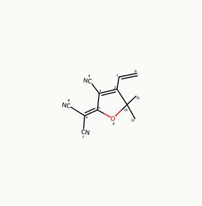 C=CC1=C(C#N)C(=C(C#N)C#N)OC1(C)C